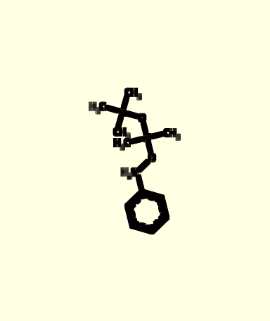 C[Si](C)(C)O[Si](C)(C)O[SiH2]c1ccccc1